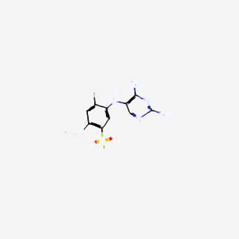 COc1cc(C(C)C)c(Nc2cnc(N)nc2N)cc1S(C)(=O)=O